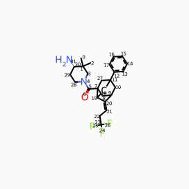 CC1(C)CN(C(=O)C23CC4CC(c5ccccc5)(CC2/C4=C\CC(F)(F)F)C3)CC[C@@H]1N